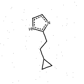 c1c[nH]c(CCC2CC2)n1